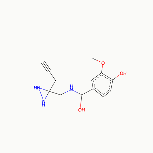 C#CCC1(CNC(O)c2ccc(O)c(OC)c2)NN1